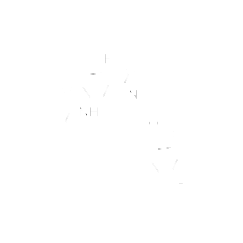 O=C1COc2cc(F)c(C(=O)N3CC(OCc4ccc(F)cc4Cl)C3)cc2N1